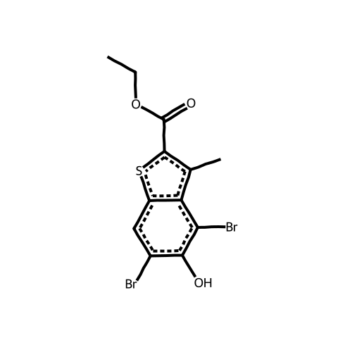 CCOC(=O)c1sc2cc(Br)c(O)c(Br)c2c1C